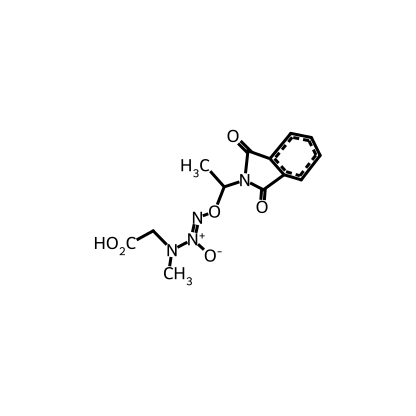 CC(ON=[N+]([O-])N(C)CC(=O)O)N1C(=O)c2ccccc2C1=O